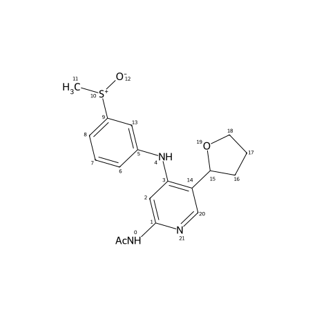 CC(=O)Nc1cc(Nc2cccc([S+](C)[O-])c2)c(C2CCCO2)cn1